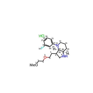 COCCOCCC1CN[C@@H]2CCCN(c3cccc(F)c3)[C@H]12.Cl